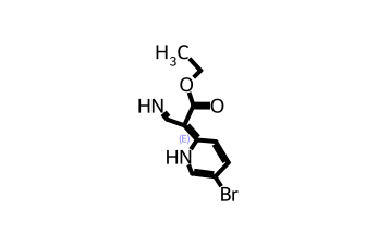 CCOC(=O)/C(C=N)=C1\C=CC(Br)=CN1